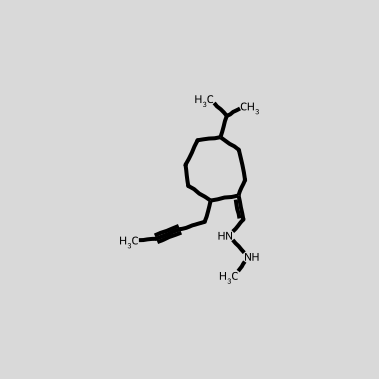 CC#CCC1CCCC(C(C)C)CC/C1=C/NNC